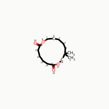 CC1(C)CCCCCOC(=O)CCCCC(=O)OC1